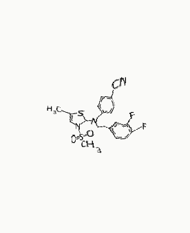 CC1=CN(S(C)(=O)=O)C(N(Cc2ccc(F)c(F)c2)c2ccc(C#N)cc2)S1